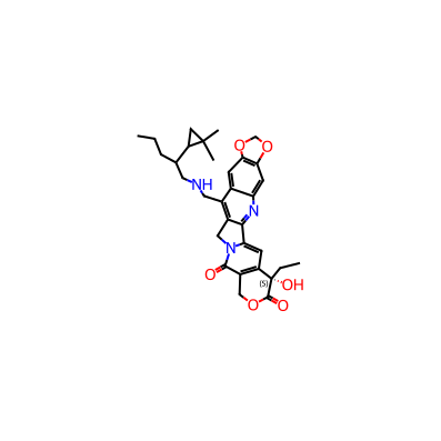 CCCC(CNCc1c2c(nc3cc4c(cc13)OCO4)-c1cc3c(c(=O)n1C2)COC(=O)[C@]3(O)CC)C1CC1(C)C